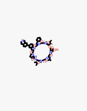 CCC(C)[C@@H]1NC(=O)[C@@H]2CCCN2C(=O)C(Cc2cccc(-c3ccc4ccncc4c3)c2)N(C)C(=O)C(Cc2ccccc2)NC(=O)[C@H](C)N(C)C(=O)C([C@H](C)CC)OC(=O)C(C(C)(C)O)N(C)C(=O)C(CC(C)C)NC(=O)[C@H](C)N(C)C1=O